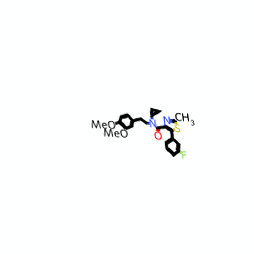 COc1ccc(CCN(C(=O)c2nc(C)sc2-c2cccc(F)c2)C2CC2)cc1OC